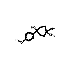 CCCC1(C)CCC(O)(c2ccc(OCC)cc2)CC1